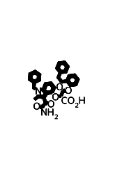 Cc1c(C(=O)C(N)=O)c2c(OC(C(=O)O)C(=O)OC(Cc3ccccc3)c3ccccc3)cccc2n1Cc1ccccc1